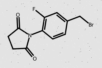 O=C1CCC(=O)N1c1ccc(CBr)cc1F